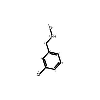 C[CH]NCc1cccc(Cl)c1